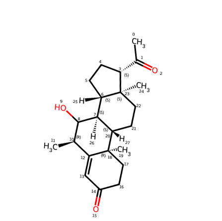 CC(=O)[C@H]1CC[C@H]2[C@@H]3C(O)[C@H](C)C4=CC(=O)CC[C@]4(C)[C@H]3CC[C@]12C